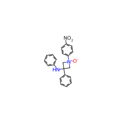 O=[N+]([O-])c1ccc([N+]2([O-])CC(Nc3ccccc3)(c3ccccc3)C2)cc1